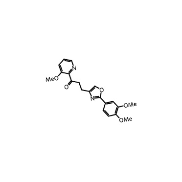 COc1ccc(-c2nc(CCC(=O)c3ncccc3OC)co2)cc1OC